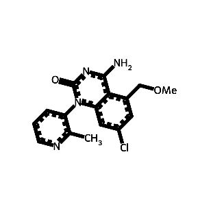 COCc1cc(Cl)cc2c1c(N)nc(=O)n2-c1cccnc1C